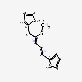 CS/C(=C\C=C\c1cccs1)Cc1cccs1